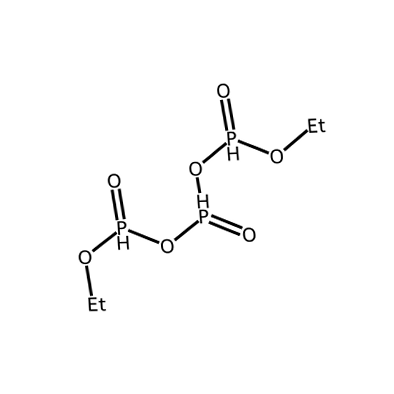 CCO[PH](=O)O[PH](=O)O[PH](=O)OCC